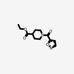 CCOC(=O)C1CCN(C(=O)c2ccno2)CC1